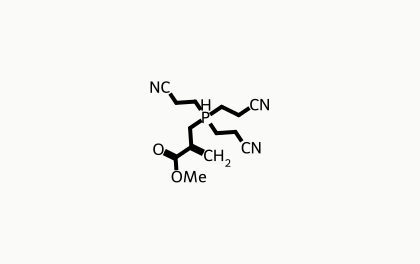 C=C(C[PH](CCC#N)(CCC#N)CCC#N)C(=O)OC